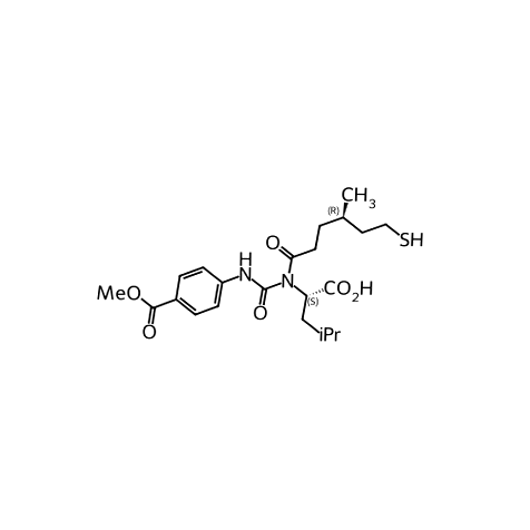 COC(=O)c1ccc(NC(=O)N(C(=O)CC[C@@H](C)CCS)[C@@H](CC(C)C)C(=O)O)cc1